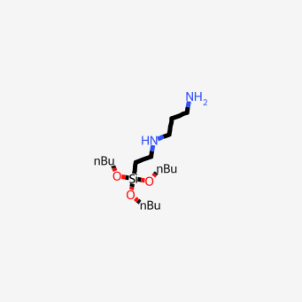 CCCCO[Si](CCNCCCN)(OCCCC)OCCCC